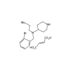 CC(C)(C)CCN(Cc1ccccc1Br)C1CCNCC1.O=C(O)C=CC(=O)O